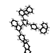 c1ccc2cc3c(cc2c1)oc1cc(-c2cc(-c4nc(-c5ccc(-c6cccc7ccccc67)cc5)nc(-c5cccc6c5sc5ccccc56)n4)c4ccccc4c2)ccc13